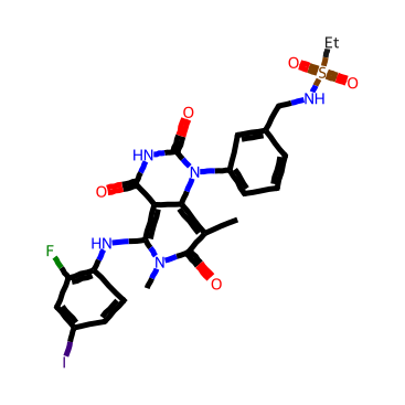 CCS(=O)(=O)NCc1cccc(-n2c(=O)[nH]c(=O)c3c(Nc4ccc(I)cc4F)n(C)c(=O)c(C)c32)c1